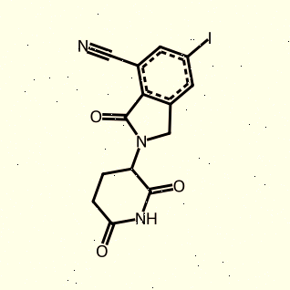 N#Cc1cc(I)cc2c1C(=O)N(C1CCC(=O)NC1=O)C2